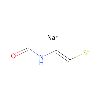 O=CN/C=C/[S-].[Na+]